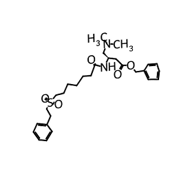 CN(C)C[C@@H](CC(=O)OCc1ccccc1)NC(=O)CCCCCCS(=O)(=O)CCc1ccccc1